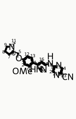 COc1cc(OC[C@H]2CCCN2C)ccc1-c1cc(Nc2cnc(C#N)cn2)n[nH]1